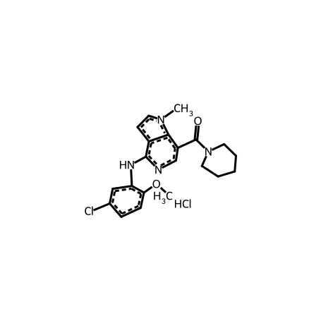 COc1ccc(Cl)cc1Nc1ncc(C(=O)N2CCCCC2)c2c1ccn2C.Cl